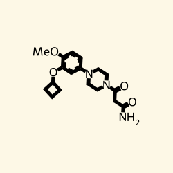 COc1ccc(N2CCN(C(=O)CC(N)=O)CC2)cc1OC1CCC1